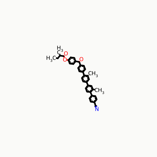 CCC(C)C(=O)Oc1ccc(C(=O)c2ccc(-c3ccc(-c4ccc(-c5ccc(C#N)cc5)c(C)c4)cc3C)cc2)cc1